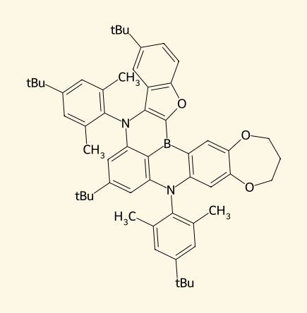 Cc1cc(C(C)(C)C)cc(C)c1N1c2cc3c(cc2B2c4oc5ccc(C(C)(C)C)cc5c4N(c4c(C)cc(C(C)(C)C)cc4C)c4cc(C(C)(C)C)cc1c42)OCCCO3